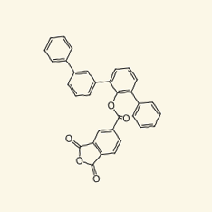 O=C(Oc1c(-c2ccccc2)cccc1-c1cccc(-c2ccccc2)c1)c1ccc2c(c1)C(=O)OC2=O